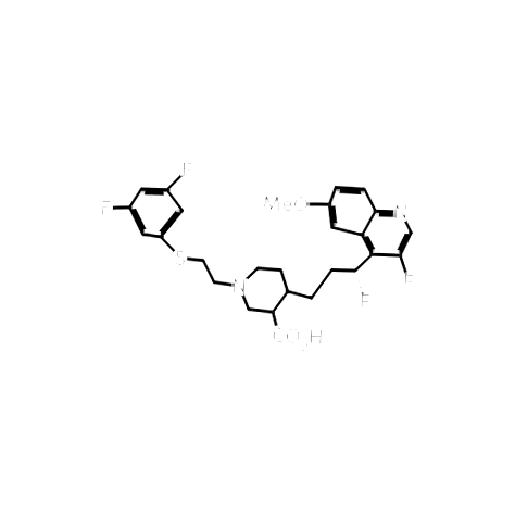 COc1ccc2ncc(F)c([C@H](F)CCC3CCN(CCSc4cc(F)cc(F)c4)CC3C(=O)O)c2c1